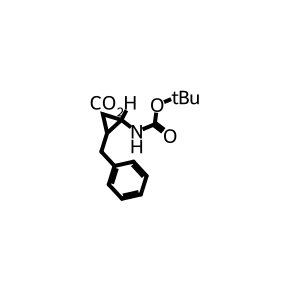 CC(C)(C)OC(=O)NC1(C(=O)O)CC1Cc1ccccc1